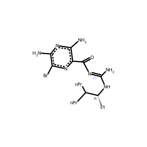 CCCC(CCC)[C@@H](CC)N/C(N)=N/C(=O)c1nc(Br)c(N)nc1N